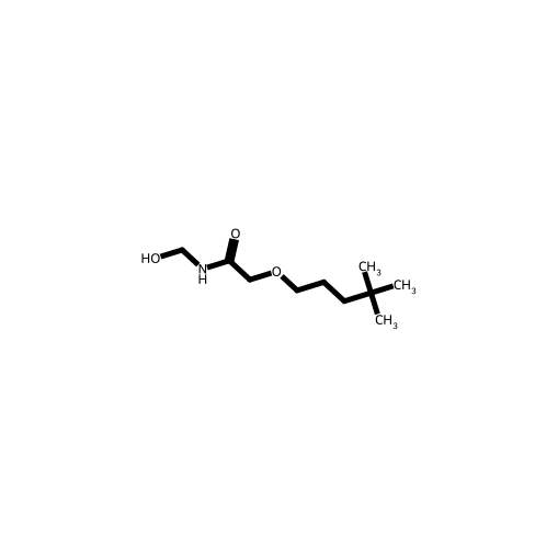 CC(C)(C)CCCOCC(=O)NCO